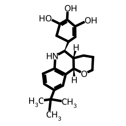 CC(C)(C)c1ccc2c(c1)[C@H]1OCCC[C@H]1[C@H](C1C=C(O)C(O)=C(O)C1)N2